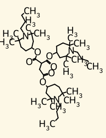 CCCCN1C(C)(C)CCC(OC(=O)CC(C(=O)OC2CCC(C)(C)N(CCCC)C(C)(C)C2)C(=O)OC2CCC(C)(C)N(CCCC)C(C)(C)C2)CC1(C)C